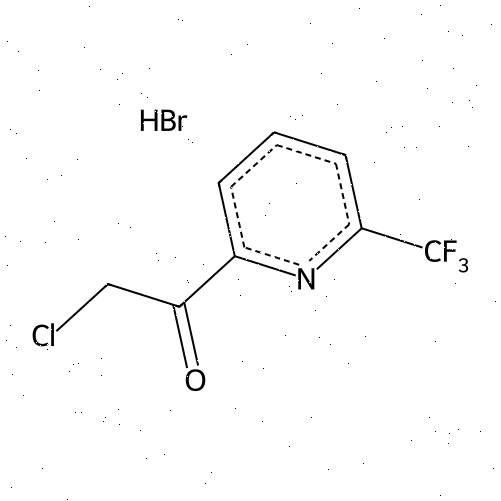 Br.O=C(CCl)c1cccc(C(F)(F)F)n1